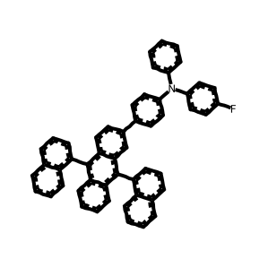 Fc1ccc(N(c2ccccc2)c2ccc(-c3ccc4c(-c5cccc6ccccc56)c5ccccc5c(-c5cccc6ccccc56)c4c3)cc2)cc1